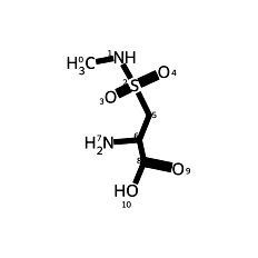 CNS(=O)(=O)CC(N)C(=O)O